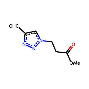 COC(=O)CCn1cc(C=O)nn1